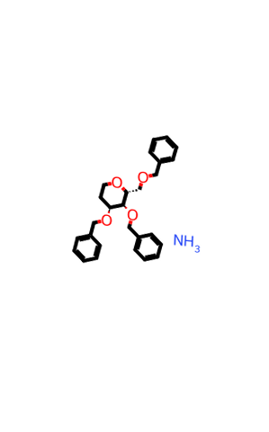 N.c1ccc(COC[C@H]2OCC[C@@H](OCc3ccccc3)[C@H]2OCc2ccccc2)cc1